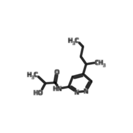 CCCC(C)c1cnnc(NC(=O)C(C)O)c1